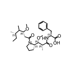 CC[C@H](C)C(C)[C@@H](CC(=O)N1CCC[C@H]1[C@H](OC)[C@@H](C)C(=O)N[C@@H](Cc1ccccc1)C(=O)O)OC